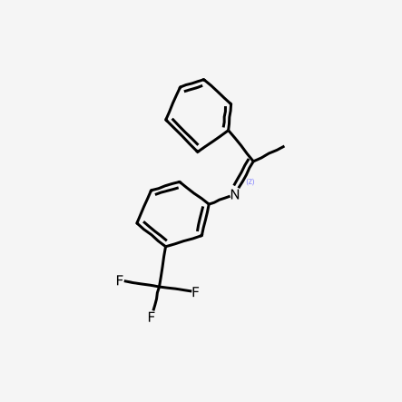 C/C(=N/c1cccc(C(F)(F)F)c1)c1ccccc1